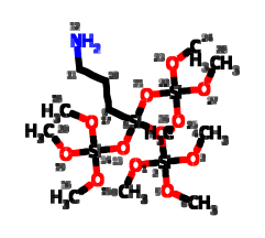 CO[Si](OC)(OC)O[Si](CCCN)(O[Si](OC)(OC)OC)O[Si](OC)(OC)OC